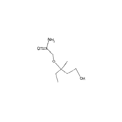 CCC(C)(CCO)OCC(N)=O